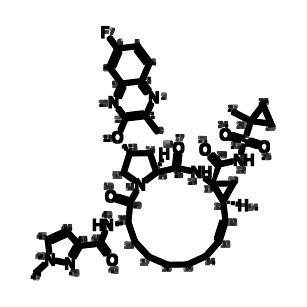 Cc1nc2ccc(F)cc2nc1O[C@@H]1C[C@H]2C(=O)N[C@]3(C(=O)NS(=O)(=O)C4(C)CC4)C[C@H]3C=CCCCCC[C@H](NC(=O)c3ccn(C)n3)C(=O)N2C1